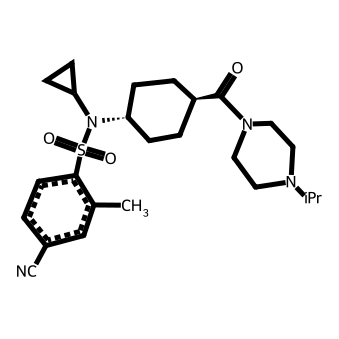 Cc1cc(C#N)ccc1S(=O)(=O)N(C1CC1)[C@H]1CC[C@H](C(=O)N2CCN(C(C)C)CC2)CC1